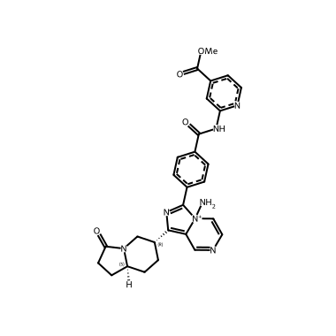 COC(=O)c1ccnc(NC(=O)c2ccc(C3=NC([C@@H]4CC[C@H]5CCC(=O)N5C4)=C4C=NC=C[N+]34N)cc2)c1